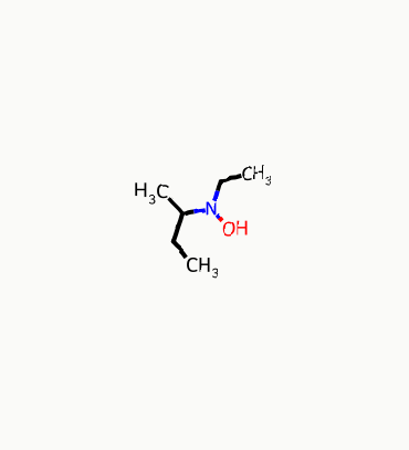 CCC(C)N(O)CC